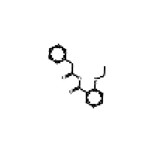 CCOc1ccccc1C(=O)OC(=O)Cc1ccccc1